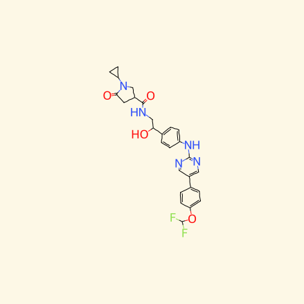 O=C(NCC(O)c1ccc(Nc2ncc(-c3ccc(OC(F)F)cc3)cn2)cc1)C1CC(=O)N(C2CC2)C1